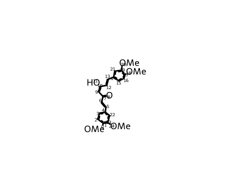 COc1ccc(/C=C/C(=O)/C=C(O)\C=C\c2ccc(OC)c(OC)c2)cc1OC